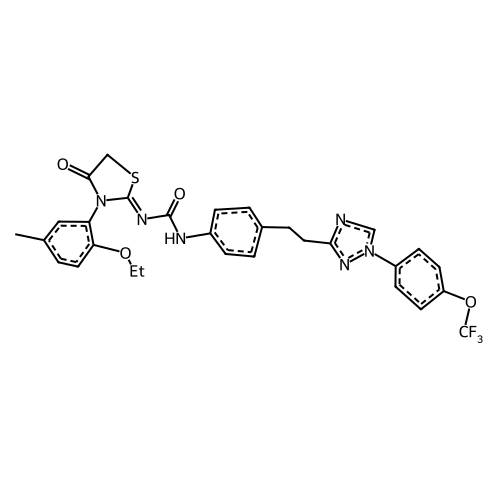 CCOc1ccc(C)cc1N1C(=O)CSC1=NC(=O)Nc1ccc(CCc2ncn(-c3ccc(OC(F)(F)F)cc3)n2)cc1